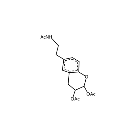 CC(=O)NCCc1ccc2c(c1)CC(OC(C)=O)C(OC(C)=O)O2